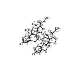 C[C@]12CCC(=O)C=C1CC[C@@H]1[C@@H]2[C@@H](O)C[C@]2(C=O)[C@@H](C(=O)CO)CC[C@@H]12.C[C@]12CCC(=O)C=C1CC[C@@H]1[C@@H]2[C@@H](O)C[C@]2(C=O)[C@@H](C(=O)CO)CC[C@@H]12